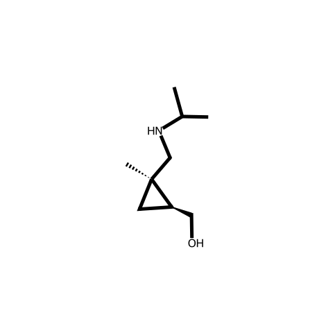 CC(C)NC[C@]1(C)C[C@@H]1CO